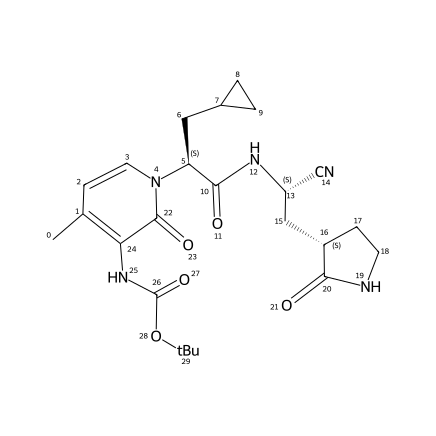 Cc1ccn([C@@H](CC2CC2)C(=O)N[C@H](C#N)C[C@@H]2CCNC2=O)c(=O)c1NC(=O)OC(C)(C)C